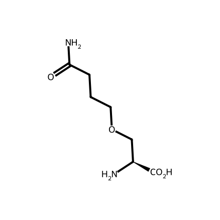 NC(=O)CCCOC[C@H](N)C(=O)O